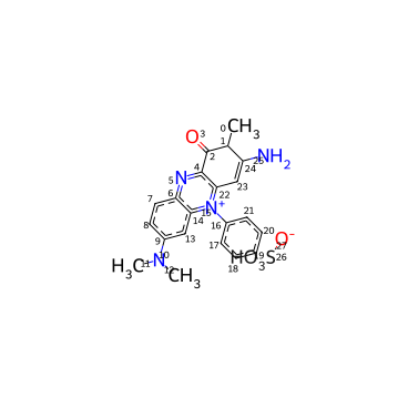 CC1C(=O)c2nc3ccc(N(C)C)cc3[n+](-c3ccccc3)c2C=C1N.O=S(=O)([O-])O